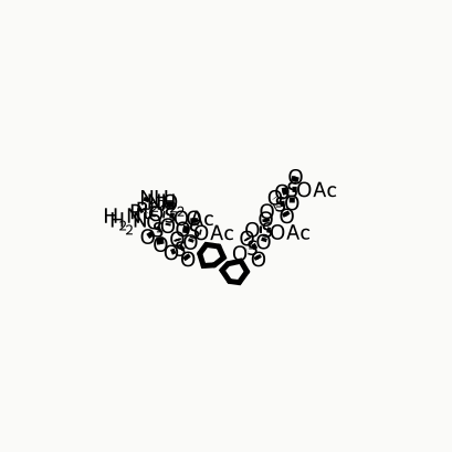 C1CCCCC1.C1CCCCC1.CC(=O)OS(=O)(=O)OS(=O)(=O)[O-].CC(=O)OS(=O)(=O)OS(=O)(=O)[O-].CC(=O)OS(=O)(=O)OS(=O)(=O)[O-].CC(=O)OS(=O)(=O)OS(=O)(=O)[O-].[NH2][Pt+2][NH2].[NH2][Pt+2][NH2]